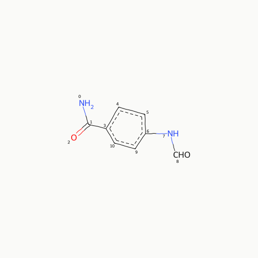 NC(=O)c1ccc(NC=O)cc1